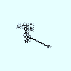 CC(=O)OC(CC(OC(C)=O)C(OC(C)=O)C(C)OC(C)=O)c1coc(C(OC(=O)CCCCCCCCCCCC(C)C)c2cnco2)n1